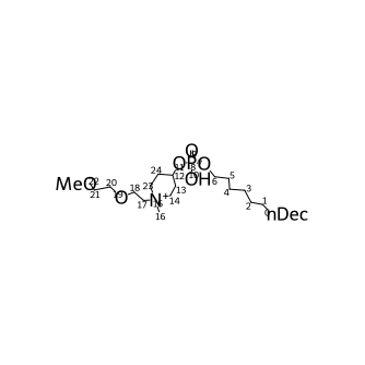 CCCCCCCCCCCCCCCCOP(=O)(O)OC1CC[N+](C)(CCOCCOC)CC1